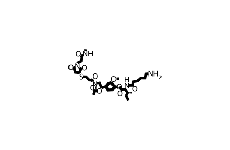 CC[C@H](C)[C@H](NC(=O)CCCCCN)C(=O)Oc1ccc(C(CNC(=O)CCSC2CC(=O)N(CCC(=O)NC)C2=O)OC(C)=O)cc1OC